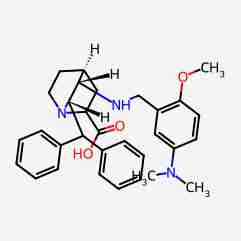 COc1ccc(N(C)C)cc1CN[C@H]1[C@H]2CCN(C(C(=O)O)C2)[C@H]1C(c1ccccc1)c1ccccc1